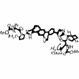 COC(=O)N[C@H](C(=O)N1[C@@H](C)CC[C@H]1c1nc2ccc3cc4c(cc3c2[nH]1)OCc1cc(-c2cnc([C@@H]3[C@@H]5CC[C@@H]5CN3C(=O)[C@@H](NC(=O)OC)[C@@H](C)OC)[nH]2)ccc1-4)C(C)C